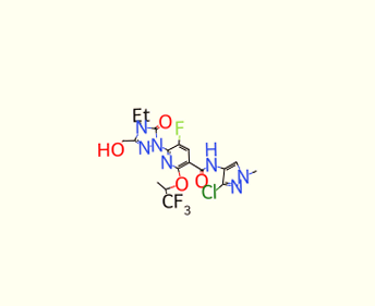 CCn1c(CO)nn(-c2nc(OC(C)C(F)(F)F)c(C(=O)Nc3cn(C)nc3Cl)cc2F)c1=O